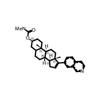 CNC(=O)O[C@H]1CC[C@@]2(C)C(CC[C@@H]3[C@@H]2CC[C@]2(C)C(c4ccc5ccncc5c4)=CC[C@@H]32)C1